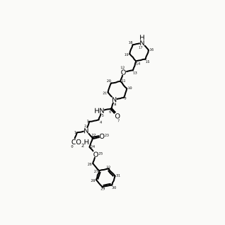 O=C(O)CN(CCNC(=O)N1CCC(OCC2CCNCC2)CC1)C(=O)COCc1ccccc1